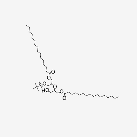 CCCCCCCCCCCCCCCC(=O)OCC(CO)OC(COC(=O)CCCCCCCCCCCCCCC)CO[Si](C)(C)C(C)(C)C